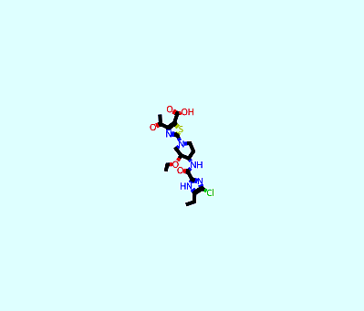 CCOC1CN(c2nc(C(C)=O)c(C(=O)O)s2)CCC1NC(=O)c1nc(Cl)c(CC)[nH]1